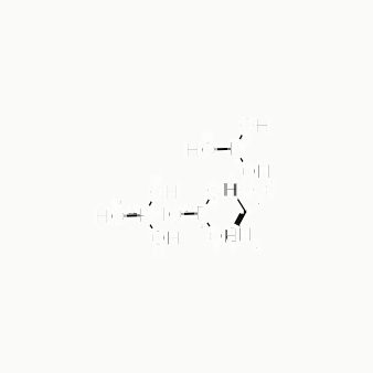 C=CC(=O)O.OP(O)O.OP(O)O.OP(O)O